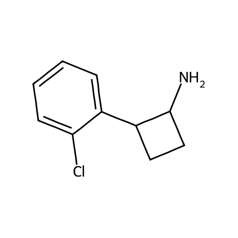 NC1CCC1c1ccccc1Cl